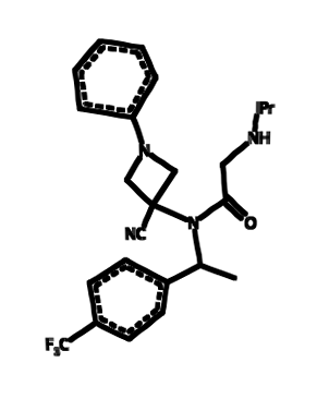 CC(C)NCC(=O)N(C(C)c1ccc(C(F)(F)F)cc1)C1(C#N)CN(c2ccccc2)C1